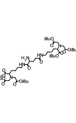 CC(C)COC(=O)CN(CC(=O)OCC(C)C)C(CCCCNC(=O)CCC(N)C(=O)NCCCCC(C(=O)OCC(C)C)N(CC(=O)OCC(C)C)CC(=O)OCC(C)C)C(=O)OCC(C)C